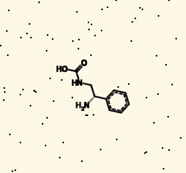 N[C@H](CNC(=O)O)c1ccccc1